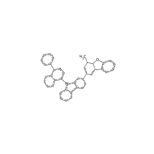 CC1C=C(c2ccc3c4ccccc4n(-c4ccc(-c5ccccc5)c5ccccc45)c3c2)C=C2c3ccccc3OC21